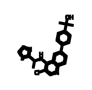 CC(Nc1c(Cl)cnc2ccc(-c3ccc(C(C)(C)O)cc3)cc12)c1nccs1